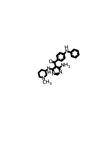 CN1CCCC(Nc2ncnc(N)c2C(=O)c2ccc(Nc3ccccc3)cc2)C1